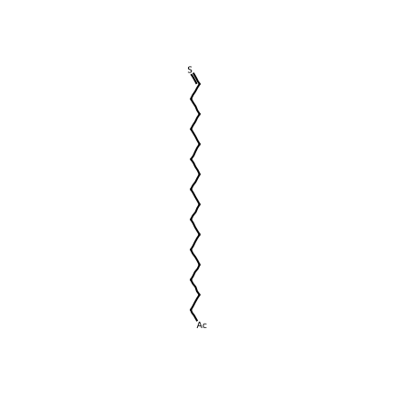 CC(=O)CCCCCCCCCCCCCCCC=S